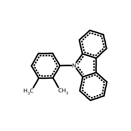 Cc1cccc(-n2c3ccccc3c3ccccc32)c1C